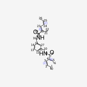 C=C/C=C\C(=C/C)C(=O)NCc1cccc(CNC(=O)/C(C=C)=C/C=C\C)c1